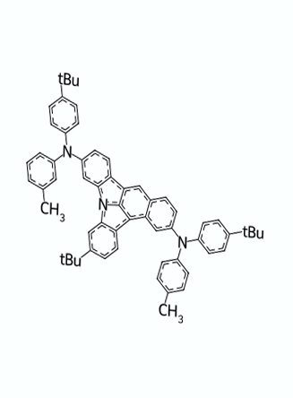 Cc1ccc(N(c2ccc(C(C)(C)C)cc2)c2ccc3cc4c5ccc(N(c6ccc(C(C)(C)C)cc6)c6cccc(C)c6)cc5n5c6cc(C(C)(C)C)ccc6c(c3c2)c45)cc1